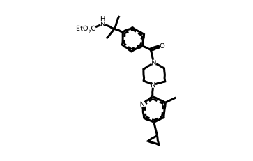 CCOC(=O)NC(C)(C)c1ccc(C(=O)N2CCN(c3ncc(C4CC4)cc3C)CC2)cc1